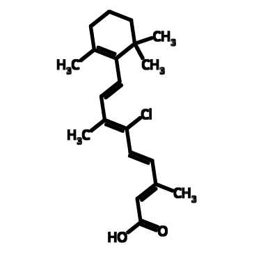 CC(C=CC(Cl)=C(C)C=CC1=C(C)CCCC1(C)C)=CC(=O)O